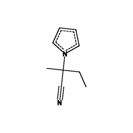 CCC(C)(C#N)n1cccc1